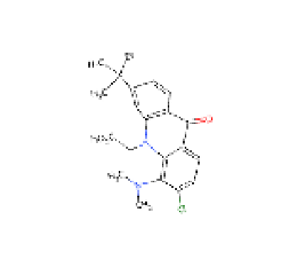 CCC(C)(C)c1ccc2c(=O)c3ccc(Cl)c(N(C)C)c3n(CC(=O)O)c2c1